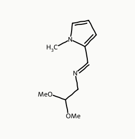 COC(CN=Cc1cccn1C)OC